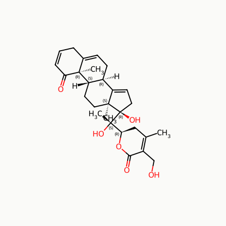 CC1=C(CO)C(=O)O[C@@H]([C@](C)(O)[C@@]2(O)CC=C3[C@@H]4CC=C5CC=CC(=O)[C@]5(C)[C@H]4CC[C@@]32C)C1